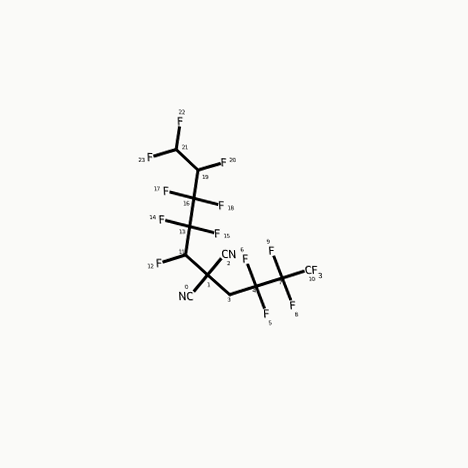 N#CC(C#N)(CC(F)(F)C(F)(F)C(F)(F)F)C(F)C(F)(F)C(F)(F)C(F)C(F)F